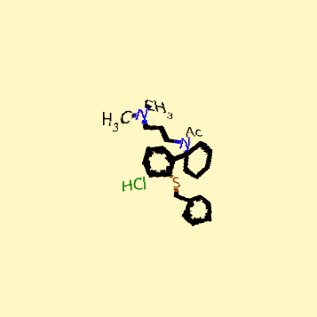 CC(=O)N(CCCN(C)C)C1(c2ccccc2SCc2ccccc2)CCCCC1.Cl